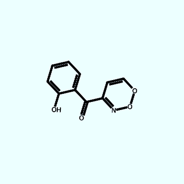 O=C(C1=NOOC=C1)c1ccccc1O